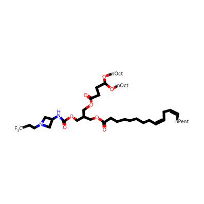 CCCCC/C=C\C/C=C\CCCCCCCC(=O)OCC(COC(=O)CCC(OCCCCCCCC)OCCCCCCCC)COC(=O)NC1CN(CCC(F)(F)F)C1